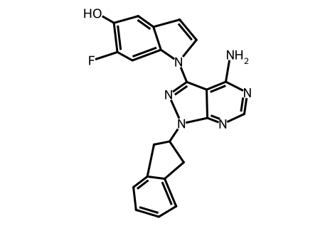 Nc1ncnc2c1c(-n1ccc3cc(O)c(F)cc31)nn2C1Cc2ccccc2C1